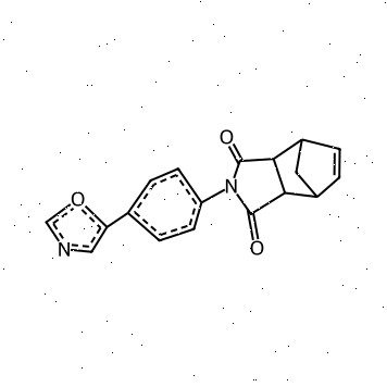 O=C1C2C3C=CC(C3)C2C(=O)N1c1ccc(-c2cnco2)cc1